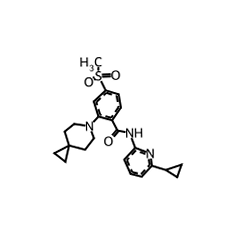 CS(=O)(=O)c1ccc(C(=O)Nc2cccc(C3CC3)n2)c(N2CCC3(CC2)CC3)c1